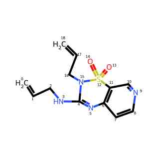 C=CCNC1=Nc2ccncc2S(=O)(=O)N1CC=C